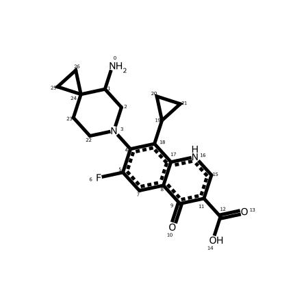 NC1CN(c2c(F)cc3c(=O)c(C(=O)O)c[nH]c3c2C2CC2)CCC12CC2